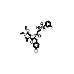 CCOC(CN(C(=O)C(Cc1ccc(Cl)cc1)NC(=O)CCNS(=O)(=O)c1cccc(F)c1)C(C)C)OCC